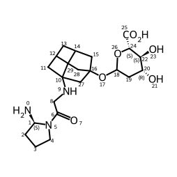 N[C@@H]1CCCN1C(=O)CNC12CC3CC4CC(OC5C[C@@H](O)[C@H](O)[C@@H](C(=O)O)O5)(C1)CC432